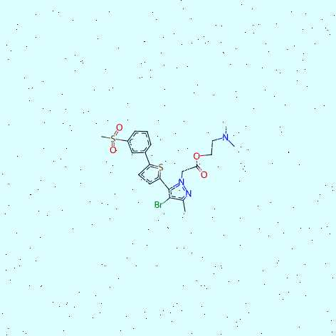 Cc1nn(CC(=O)OCCN(C)C)c(-c2ccc(-c3cccc(S(C)(=O)=O)c3)s2)c1Br